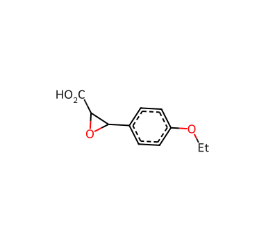 CCOc1ccc(C2OC2C(=O)O)cc1